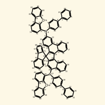 c1ccc(-c2ccc(N(c3ccc4c5c(c6ccccc6c4c3)-c3c(cc(N(c4ccc(-c6ccccc6)cc4)c4cccc6c4oc4ccccc46)c4ccccc34)C53c4ccccc4-c4ccccc43)c3cccc4c3oc3ccccc34)cc2)cc1